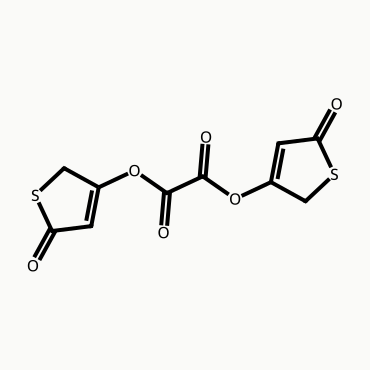 O=C1C=C(OC(=O)C(=O)OC2=CC(=O)SC2)CS1